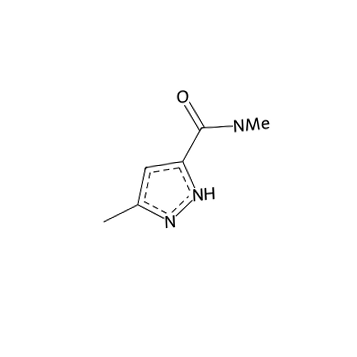 CNC(=O)c1cc(C)n[nH]1